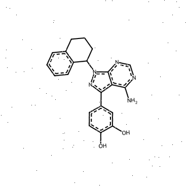 Nc1ncnc2c1c(-c1ccc(O)c(O)c1)nn2C1CCCc2ccccc21